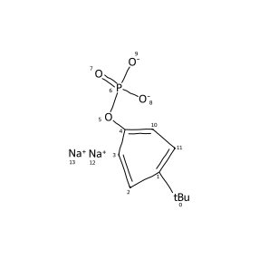 CC(C)(C)c1ccc(OP(=O)([O-])[O-])cc1.[Na+].[Na+]